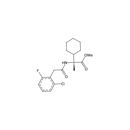 COC(=O)[C@](C)(NC(=O)Cc1c(F)cccc1Cl)C1CCCCC1